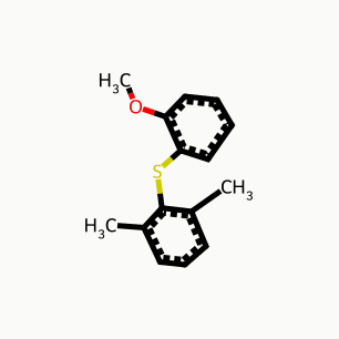 COc1ccccc1Sc1c(C)cccc1C